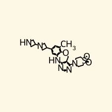 Cc1cc(C2CN(C3CNC3)C2)cc2c1OCc1c(ncnc1N1CCS(=O)(=O)CC1)N2